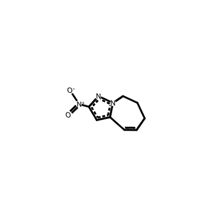 O=[N+]([O-])c1cc2n(n1)CCCC=C2